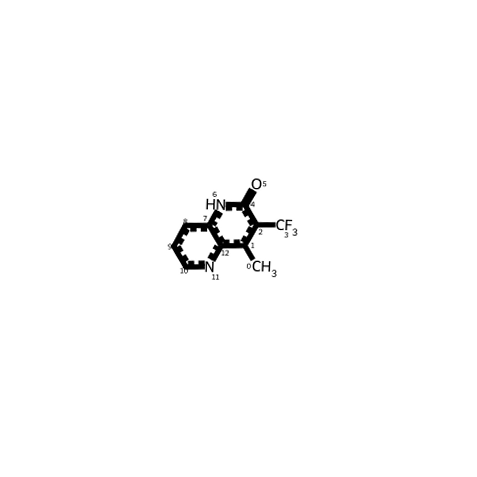 Cc1c(C(F)(F)F)c(=O)[nH]c2cccnc12